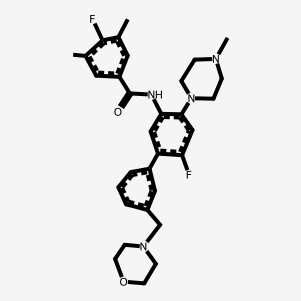 Cc1cc(C(=O)Nc2cc(-c3cccc(CN4CCOCC4)c3)c(F)cc2N2CCN(C)CC2)cc(C)c1F